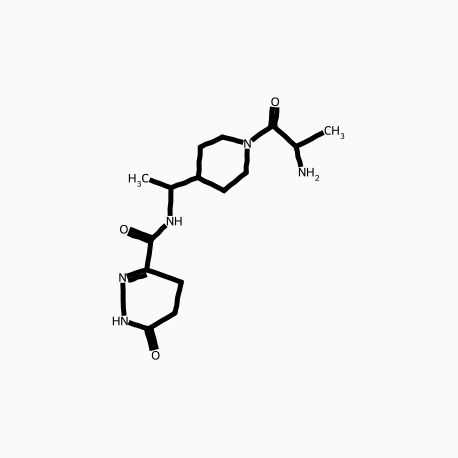 CC(N)C(=O)N1CCC(C(C)NC(=O)C2=NNC(=O)CC2)CC1